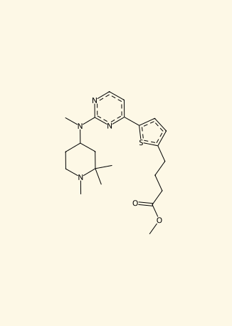 COC(=O)CCCc1ccc(-c2ccnc(N(C)C3CCN(C)C(C)(C)C3)n2)s1